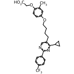 Cc1cc(OCCCCc2cnc(-c3ccc(C(F)(F)F)cc3)nc2C2CC2)ccc1OCC(=O)O